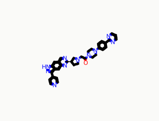 O=C(CN1CC[C@@H](c2ncc3cc4[nH]nc(-c5ccncc5)c4cc3n2)C1)N1CCN(c2ccc(-c3ncccn3)cc2)CC1